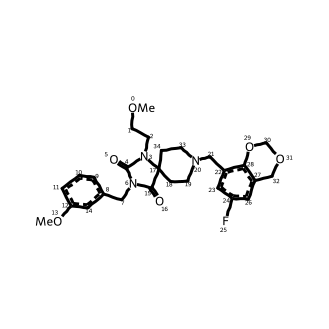 COCCN1C(=O)N(Cc2cccc(OC)c2)C(=O)C12CCN(Cc1cc(F)cc3c1OCOC3)CC2